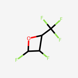 FC1OC(C(F)(F)F)C1F